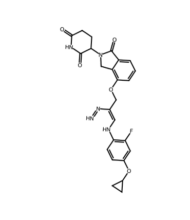 N=N/C(=C\Nc1ccc(OC2CC2)cc1F)COc1cccc2c1CN(C1CCC(=O)NC1=O)C2=O